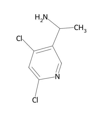 CC(N)c1cnc(Cl)cc1Cl